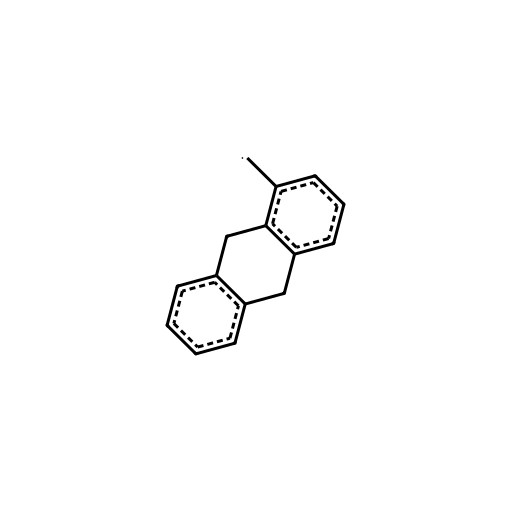 [CH2]c1cccc2c1Cc1ccccc1C2